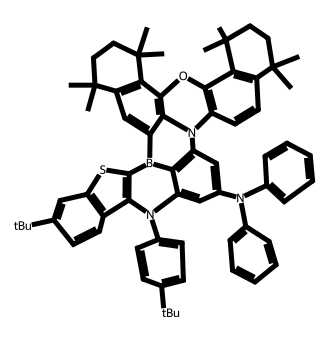 CC(C)(C)c1ccc(N2c3cc(N(c4ccccc4)c4ccccc4)cc4c3B(c3cc5c(c6c3N4c3ccc4c(c3O6)C(C)(C)CCC4(C)C)C(C)(C)CCC5(C)C)c3sc4cc(C(C)(C)C)ccc4c32)cc1